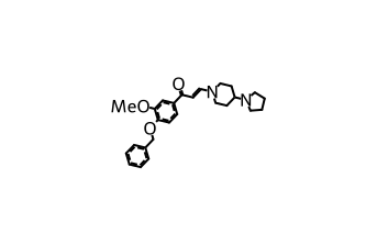 COc1cc(C(=O)C=CN2CCC(N3CCCC3)CC2)ccc1OCc1ccccc1